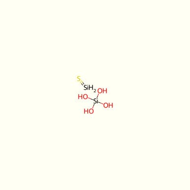 O[Si](O)(O)O.[SiH2]=S